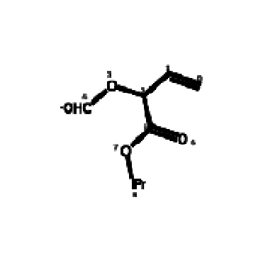 C=CC(O[C]=O)C(=O)OC(C)C